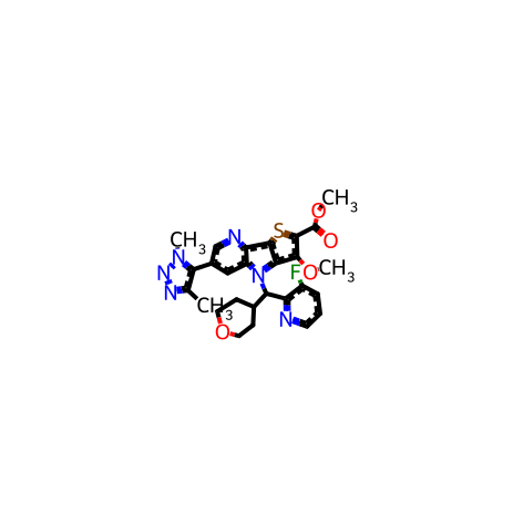 COC(=O)c1sc2c3ncc(-c4c(C)nnn4C)cc3n(C(c3ncccc3F)C3CCOCC3)c2c1OC